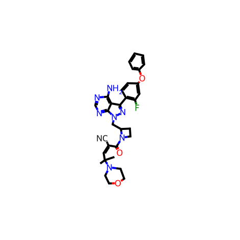 CC(C)(/C=C(/C#N)C(=O)N1CCC1Cn1nc(-c2ccc(Oc3ccccc3)cc2F)c2c(N)ncnc21)N1CCOCC1